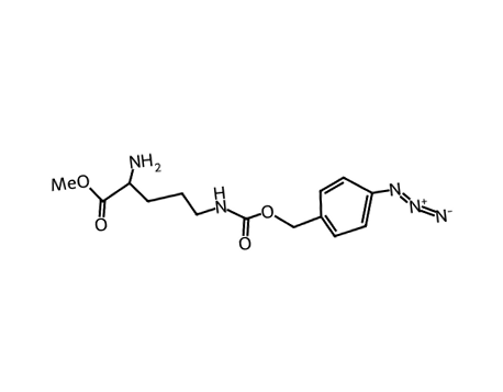 COC(=O)C(N)CCCNC(=O)OCc1ccc(N=[N+]=[N-])cc1